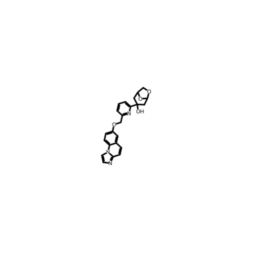 OC1(c2cccc(COc3ccc4c(ccc5nccn54)c3)n2)CC2COC(C1)O2